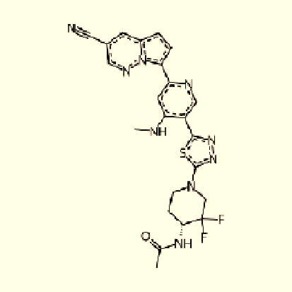 CNc1cc(-c2ccc3cc(C#N)cnn23)ncc1-c1nnc(N2CC[C@@H](NC(C)=O)C(F)(F)C2)s1